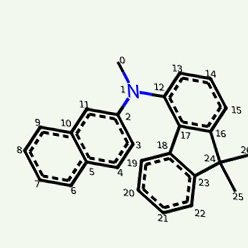 CN(c1ccc2ccccc2c1)c1cccc2c1-c1ccccc1C2(C)C